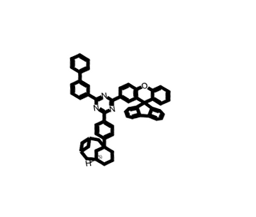 c1ccc(-c2cccc(-c3nc(-c4ccc(C56CCC[C@@H](CC7CC(C7)C5)C6)cc4)nc(-c4ccc5c(c4)C4(c6ccccc6O5)c5ccccc5-c5ccccc54)n3)c2)cc1